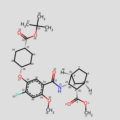 COC(=O)[C@H]1[C@@H]2CC[C@@H](C2)[C@H]1NC(=O)c1cc(O[C@H]2CC[C@@H](C(=O)OC(C)(C)C)CC2)c(F)cc1OC